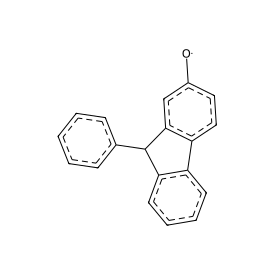 [O]c1ccc2c(c1)C(c1ccccc1)c1ccccc1-2